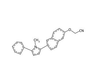 Cn1c(-c2ccccc2)ccc1-c1ccc2cc(OCC#N)ccc2c1